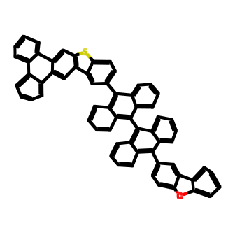 c1ccc2c(c1)oc1ccc(-c3c4ccccc4c(-c4c5ccccc5c(-c5ccc6sc7cc8c9ccccc9c9ccccc9c8cc7c6c5)c5ccccc45)c4ccccc34)cc12